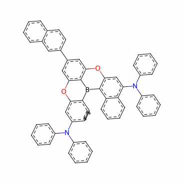 c1ccc(N(c2ccccc2)c2cc3c(c4ccccc24)B2c4c(cc(-c5ccc6ccccc6c5)cc4Oc4cc(N(c5ccccc5)c5ccccc5)c5ccccc5c42)O3)cc1